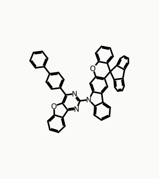 c1ccc(-c2ccc(-c3nc(-n4c5ccccc5c5cc6c(cc54)Oc4ccccc4C64c5ccccc5-c5ccccc54)nc4c3oc3ccccc34)cc2)cc1